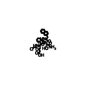 NC(=O)[C@H](CO)NC(=O)C(Cc1ccc2ccccc2c1)NC(=O)[C@@H]1CCCCN1C(=O)[C@H](CCCC(=O)O)NC(=O)CCl